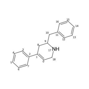 C1=C(c2ccccc2)CC(Cc2ccccc2)NC1